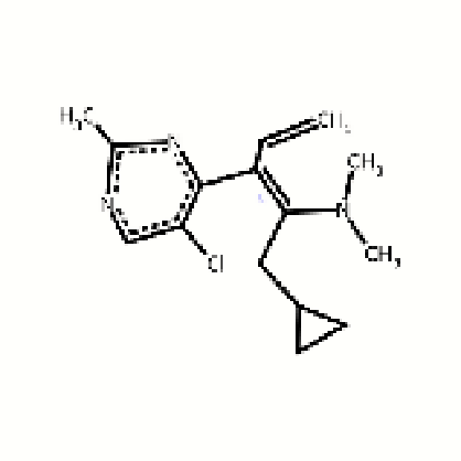 C=C/C(=C(/CC1CC1)N(C)C)c1nc(C)ncc1Cl